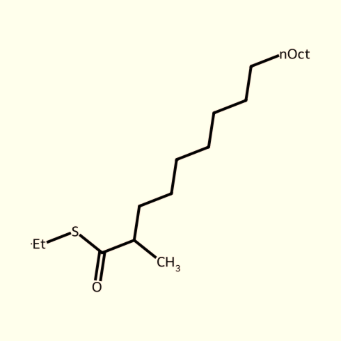 C[CH]SC(=O)C(C)CCCCCCCCCCCCCCC